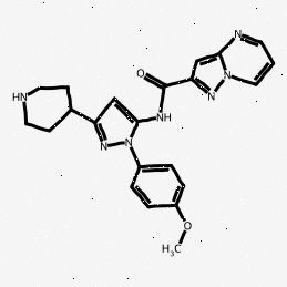 COc1ccc(-n2nc(C3CCNCC3)cc2NC(=O)c2cc3ncccn3n2)cc1